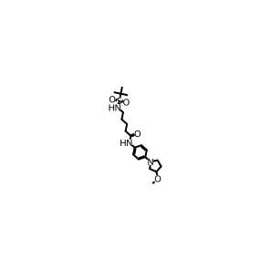 COC1CCN(c2ccc(NC(=O)CCCCNS(=O)(=O)C(C)(C)C)cc2)C1